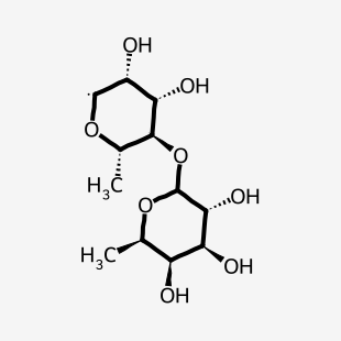 C[C@@H]1O[CH][C@H](O)[C@H](O)[C@H]1OC1O[C@H](C)[C@H](O)[C@H](O)[C@H]1O